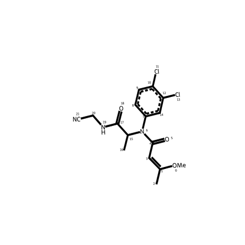 CO/C(C)=C\C(=O)N(c1ccc(Cl)c(Cl)c1)C(C)C(=O)NCC#N